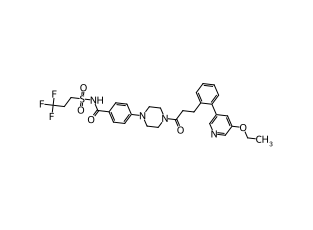 CCOc1cncc(-c2ccccc2CCC(=O)N2CCN(c3ccc(C(=O)NS(=O)(=O)CCC(F)(F)F)cc3)CC2)c1